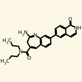 CCCN(CCC)C(=O)C1=Cc2ccc(-c3ccc4c(=O)[nH]ccc4c3)cc2N=C(N)C1